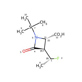 C[C@@H](F)[C@H]1C(=O)N([Si](C)(C)C)[C@@H]1C(=O)O